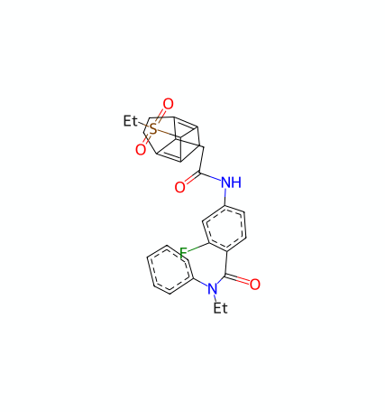 CCN(C(=O)c1ccc(NC(=O)CC2C3=C4CC(=C2CC3)C4S(=O)(=O)CC)cc1F)c1ccccc1